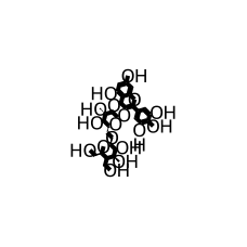 O=c1c(O[C@H]2C[C@@H](O)[C@@H](O)[C@@H](CO[C@@H]3O[C@H](CO)C(CO)[C@H](O)[C@@H]3O)O2)c(-c2cc(O)c(O)c(O)c2)oc2cc(O)cc(O)c12